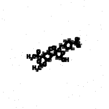 CC(=O)Oc1cc(Cl)c(N(CC(=O)O)C(=O)OCc2ccc([N+](=O)[O-])cc2)cc1OC(C)=O